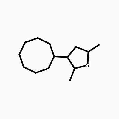 CC1CC(C2CCCCCCC2)C(C)S1